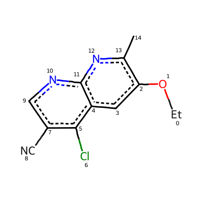 CCOc1cc2c(Cl)c(C#N)cnc2nc1C